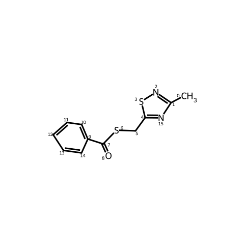 Cc1nsc(CSC(=O)c2ccccc2)n1